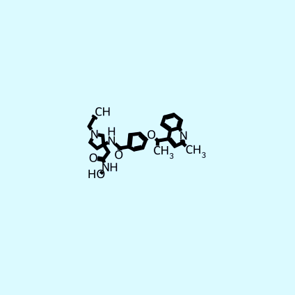 C#CCN1CCC(CC(=O)NO)(NC(=O)c2ccc(OC(C)c3cc(C)nc4ccccc34)cc2)C1